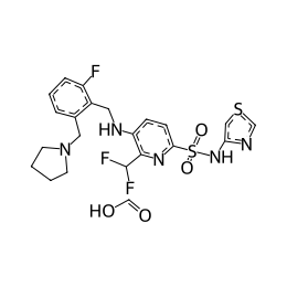 O=CO.O=S(=O)(Nc1cscn1)c1ccc(NCc2c(F)cccc2CN2CCCC2)c(C(F)F)n1